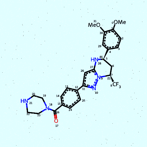 COc1ccc([C@H]2C[C@@H](C(F)(F)F)n3nc(-c4ccc(C(=O)N5CCNCC5)cc4)cc3N2)cc1OC